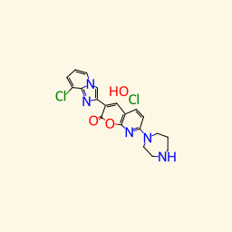 O=c1oc2nc(N3CCCNCC3)ccc2cc1-c1cn2cccc(Cl)c2n1.OCl